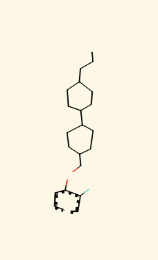 CCCC1CCC(C2CCC(COc3ccccc3F)CC2)CC1